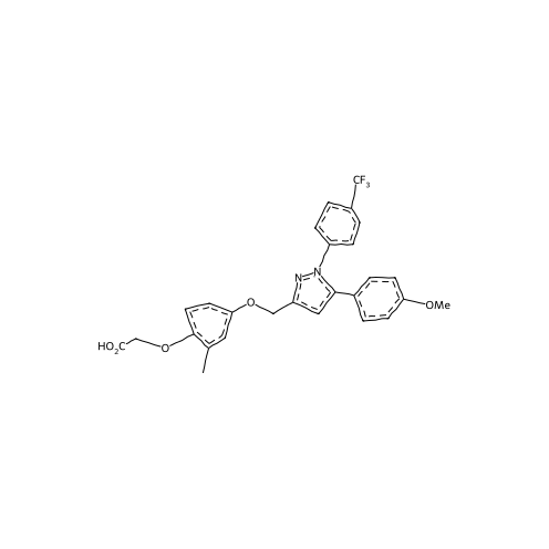 COc1ccc(-c2cc(COc3ccc(OCC(=O)O)c(C)c3)nn2-c2ccc(C(F)(F)F)cc2)cc1